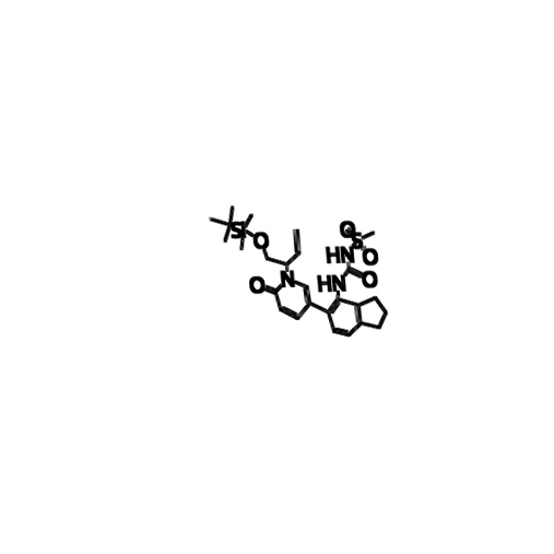 C=CC(CO[Si](C)(C)C(C)(C)C)n1cc(-c2ccc3c(c2NC(=O)NS(C)(=O)=O)CCC3)ccc1=O